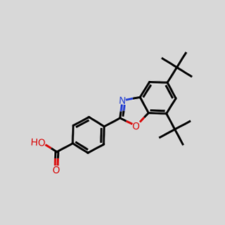 CC(C)(C)c1cc(C(C)(C)C)c2oc(-c3ccc(C(=O)O)cc3)nc2c1